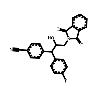 N#Cc1ccc(C(c2ccc(F)cc2)C(O)CN2C(=O)c3ccccc3C2=O)cc1